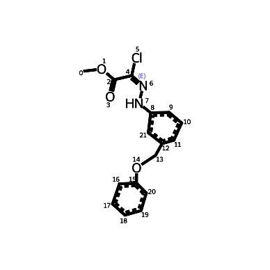 COC(=O)/C(Cl)=N\Nc1cccc(COc2ccccc2)c1